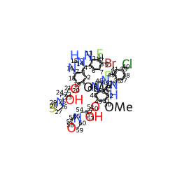 COc1cc2c(-c3ccc(Br)c(F)c3N)ncnc2cc1OCC(O)CN1CCSC1.COc1cc2c(Nc3ccc(Cl)cc3F)ncnc2cc1OCC(O)CN1CCOCC1